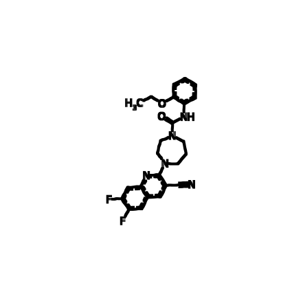 CCOc1ccccc1NC(=O)N1CCCN(c2nc3cc(F)c(F)cc3cc2C#N)CC1